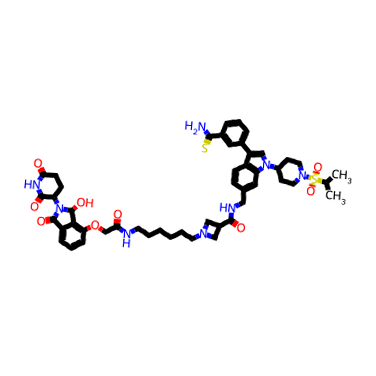 CC(C)S(=O)(=O)N1CCC(n2cc(-c3cccc(C(N)=S)c3)c3ccc(CNC(=O)C4CN(CCCCCCNC(=O)COc5cccc6c5C(O)N(C5CCC(=O)NC5=O)C6=O)C4)cc32)CC1